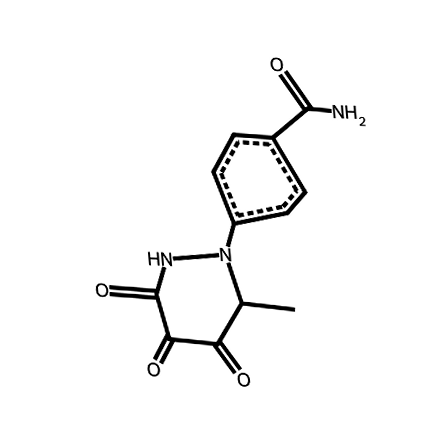 CC1C(=O)C(=O)C(=O)NN1c1ccc(C(N)=O)cc1